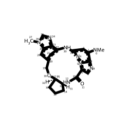 CNc1cc2nn3c(cnc13)C(=O)N[C@@H]1CCC[C@H]1OCc1cc(c3ncn(C)c3c1)N2